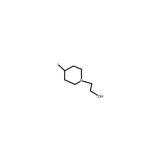 OCCN1CCC(I)CC1